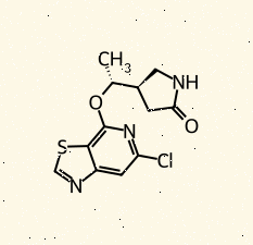 C[C@@H](Oc1nc(Cl)cc2ncsc12)[C@H]1CNC(=O)C1